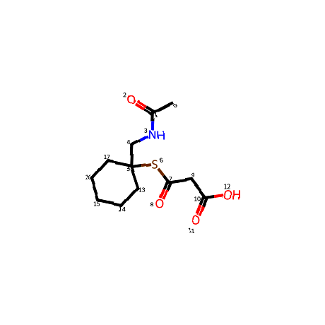 CC(=O)NCC1(SC(=O)CC(=O)O)CCCCC1